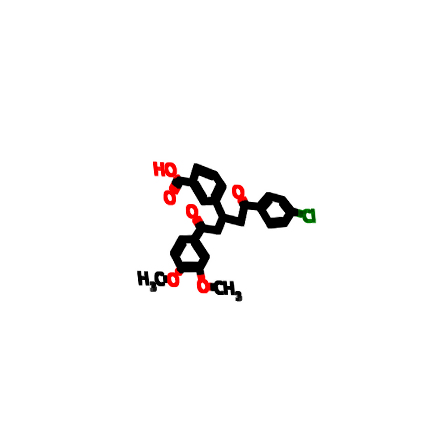 COc1ccc(C(=O)CC(CC(=O)c2ccc(Cl)cc2)c2cccc(C(=O)O)c2)cc1OC